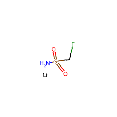 NS(=O)(=O)CF.[Li]